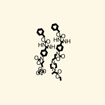 CCOC(=O)C(C)N1CCN(CC2CN(c3ccc(C(=N)NC(=O)OCc4ccccc4)cc3)C(=O)O2)CC1.CS(=O)(=O)OCC1CN(c2ccc(C(=N)NC(=O)OCc3ccccc3)cc2)C(=O)O1